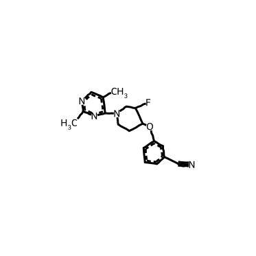 Cc1ncc(C)c(N2CCC(Oc3cccc(C#N)c3)C(F)C2)n1